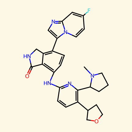 CN1CCCC1c1nc(Nc2ccc(-c3cnc4cc(F)ccn34)c3c2C(=O)NC3)ccc1C1CCOC1